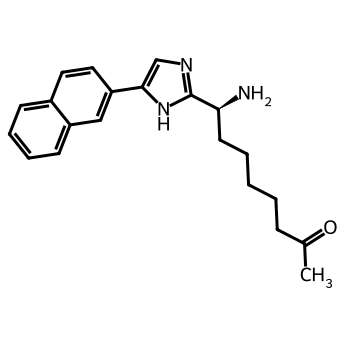 CC(=O)CCCCC[C@H](N)c1ncc(-c2ccc3ccccc3c2)[nH]1